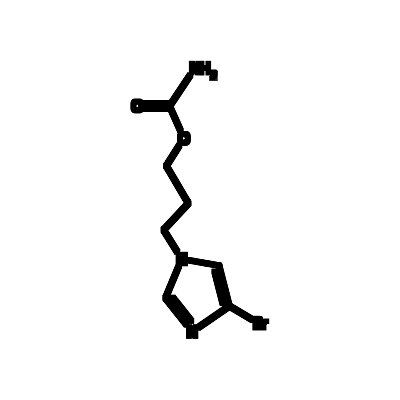 NC(=O)OCCCn1cnc(Br)c1